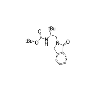 CC(C)(C)OC(=O)N[C@H](CN1Cc2ccccc2C1=O)C(C)(C)C